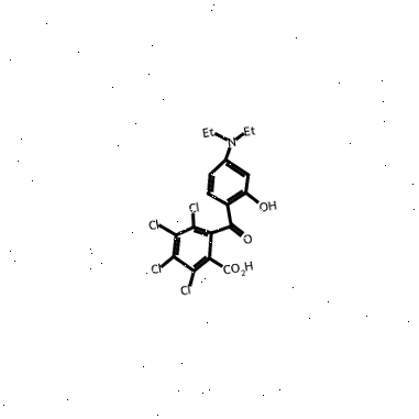 CCN(CC)c1ccc(C(=O)c2c(Cl)c(Cl)c(Cl)c(Cl)c2C(=O)O)c(O)c1